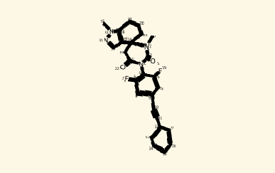 CN1C(=O)N(c2c(F)cc(C#Cc3ccccc3)cc2F)C(=O)CC12CCCc1c2cnn1C